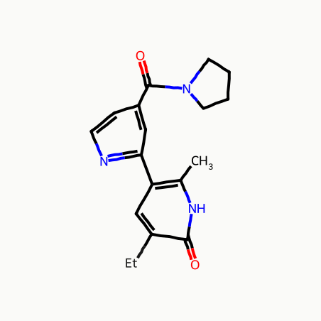 CCc1cc(-c2cc(C(=O)N3CCCC3)ccn2)c(C)[nH]c1=O